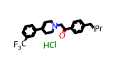 CC(C)Cc1ccc(C(=O)CN2CC=C(c3cccc(C(F)(F)F)c3)CC2)cc1.Cl